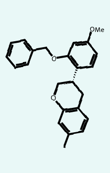 COc1ccc([C@H]2COc3cc(C)ccc3C2)c(OCc2ccccc2)c1